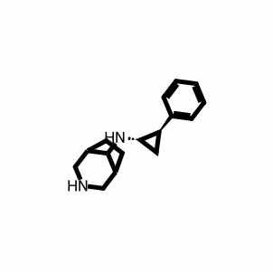 c1ccc([C@H]2C[C@@H]2NC2C3CCC2CNC3)cc1